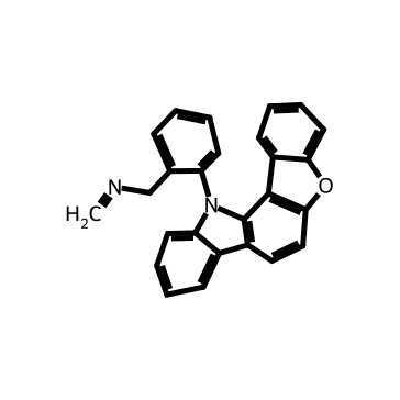 C=NCc1ccccc1-n1c2ccccc2c2ccc3oc4ccccc4c3c21